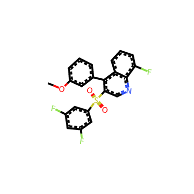 COc1cccc(-c2c(S(=O)(=O)c3cc(F)cc(F)c3)cnc3c(F)cccc23)c1